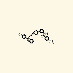 Cc1ccc(C(=O)Nc2cccc(C3CCN(CCCn4c(-c5ccc(Cl)cc5)nc5ccccc54)CC3)c2)cc1